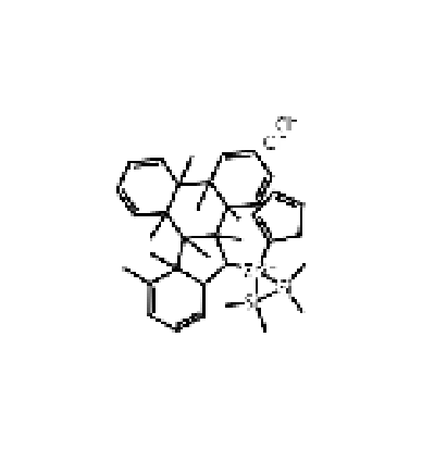 CC1=CC=CC2[CH]([Zr+2]3([C]4=CC=CC4)[Si](C)(C)[Si]3(C)C)C3(C)C4(C)C=CC=CC4(C)C4(C)C=CC=CC4(C)C3(C)C12C.[Cl-].[Cl-]